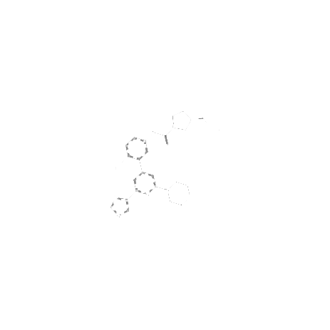 CC[C@@H]1CCN(C(=O)Nc2ccc(C)c(-c3cc(-c4cncs4)nc(N4CCOCC4)c3)c2)C1